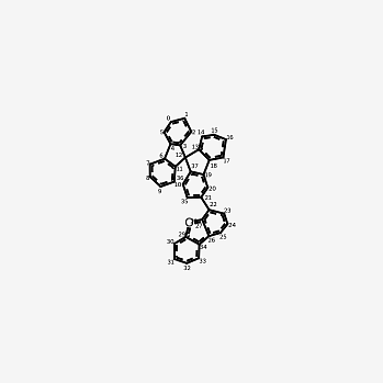 c1ccc2c(c1)-c1ccccc1C21c2ccccc2-c2cc(-c3cccc4c3oc3ccccc34)ccc21